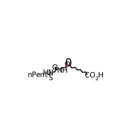 CCCCCC(=S)NCC(=O)NCCC1C2CCC(O2)C1CCCCCCC(=O)O